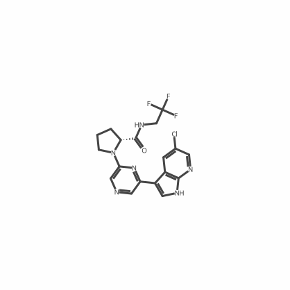 O=C(NCC(F)(F)F)[C@H]1CCCN1c1cncc(-c2c[nH]c3ncc(Cl)cc23)n1